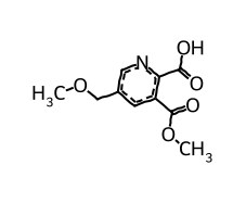 COCc1cnc(C(=O)O)c(C(=O)OC)c1